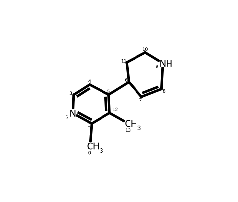 Cc1nccc(C2C=CNCC2)c1C